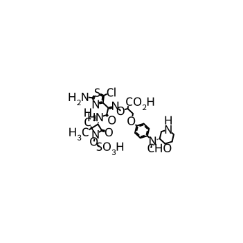 CC1(C)[C@H](NC(=O)/C(=N\OC(COc2ccc(N(C=O)[C@H]3CCCNC3)cc2)C(=O)O)c2nc(N)sc2Cl)C(=O)N1OS(=O)(=O)O